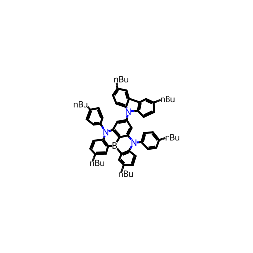 CCCCc1ccc(N2c3ccc(CCCC)cc3B3c4cc(CCCC)ccc4N(c4ccc(CCCC)cc4)c4cc(-n5c6ccc(CCCC)cc6c6cc(CCCC)ccc65)cc2c43)cc1